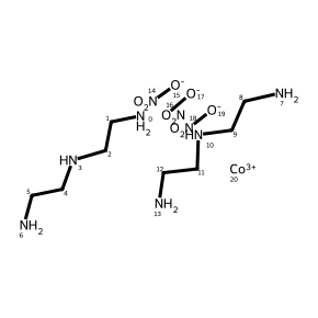 NCCNCCN.NCCNCCN.O=[N+]([O-])[O-].O=[N+]([O-])[O-].O=[N+]([O-])[O-].[Co+3]